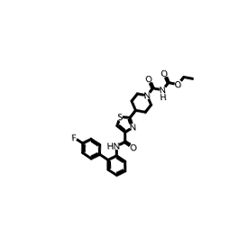 CCOC(=O)NC(=O)N1CCC(c2nc(C(=O)Nc3ccccc3-c3ccc(F)cc3)cs2)CC1